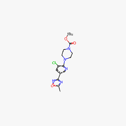 Cc1nc(-c2cnc(N3CCN(C(=O)OC(C)(C)C)CC3)c(Cl)c2)no1